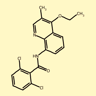 CCOc1c(C)cnc2c(NC(=O)c3c(Cl)cccc3Cl)cccc12